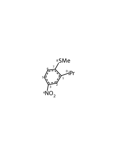 [CH2]C(C)c1cc([N+](=O)[O-])ccc1SC